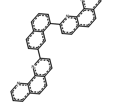 c1cc(-c2ccc3ccc4cccnc4c3n2)c2cc(-c3ccc4ccc5cccnc5c4n3)ccc2c1